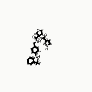 O=C(N[C@@]1(C(=O)NCc2ccc(Nc3ccccc3C(F)(F)F)cc2)CCOC1)c1cc[nH]n1